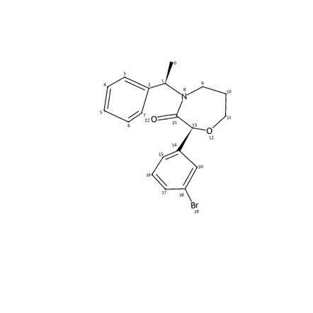 C[C@H](c1ccccc1)N1CCCO[C@@H](c2cccc(Br)c2)C1=O